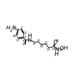 Bc1ccc(C(=C)NCCCCCC(=O)NO)cc1